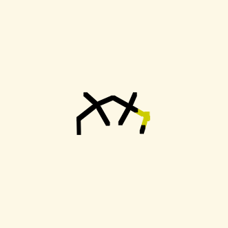 CCC(C)(C)CC(C)(C)SC